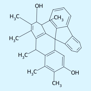 CC1=C(C)C(O)C(C)C2=C1C(C)c1c(cc(O)c(C)c1C)C21c2ccccc2-c2ccccc21